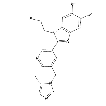 FCCn1c(-c2cncc(Cn3cncc3I)c2)nc2cc(F)c(Br)cc21